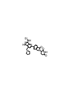 CCNc1n[nH]c2c(CN3CCCC3)cc(-c3ccc4c(c3)CN(C3CCC(=O)NC3=O)C4=O)nc12